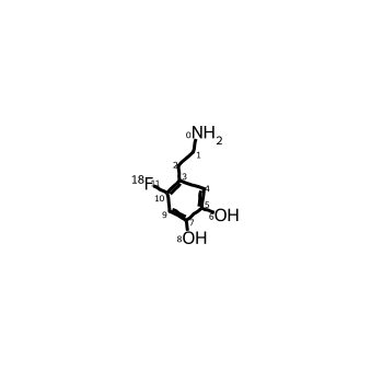 NCCc1cc(O)c(O)cc1[18F]